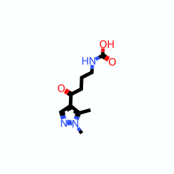 Cc1c(C(=O)CCCNC(=O)O)cnn1C